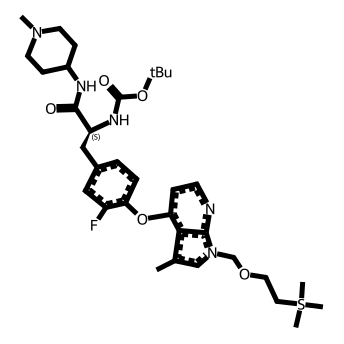 Cc1cn(COCCS(C)(C)C)c2nccc(Oc3ccc(C[C@H](NC(=O)OC(C)(C)C)C(=O)NC4CCN(C)CC4)cc3F)c12